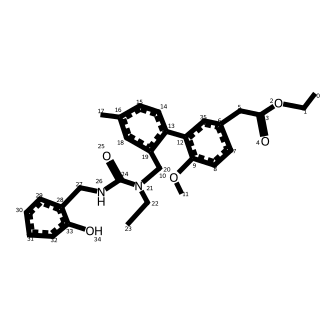 CCOC(=O)Cc1ccc(OC)c(-c2ccc(C)cc2CN(CC)C(=O)NCc2ccccc2O)c1